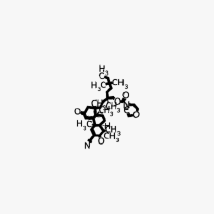 CCC(C)(C)CC[C@@](C)(CC[C@]1(C)CC(=O)C=C2[C@@]3(C)C=C(C#N)C(=O)C(C)(C)[C@@H]3CC[C@]21C)COC(=O)N1CCOCC1